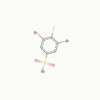 CCS(=O)(=O)c1cc(Br)c(F)c(Br)c1